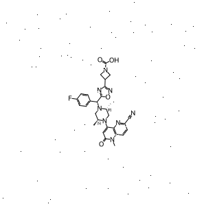 C[C@@H]1CN(c2cc(=O)n(C)c3ccc(C#N)nc23)[C@@H](C)CN1C(c1ccc(F)cc1)c1nc(C2CN(C(=O)O)C2)no1